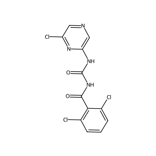 O=C(NC(=O)c1c(Cl)cccc1Cl)Nc1cncc(Cl)n1